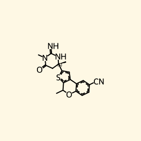 CC1Oc2ccc(C#N)cc2-c2cc([C@]3(C)CC(=O)N(C)C(=N)N3)sc21